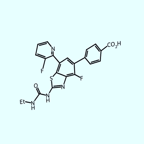 CCNC(=O)Nc1nc2c(F)c(-c3ccc(C(=O)O)cc3)cc(-c3ncccc3F)c2s1